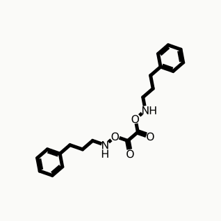 O=C(ONCCCc1ccccc1)C(=O)ONCCCc1ccccc1